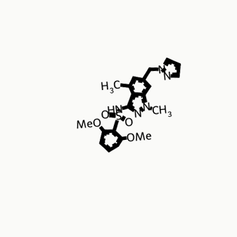 COc1cccc(OC)c1S(=O)(=O)Nc1nn(C)c2cc(Cn3cccn3)cc(C)c12